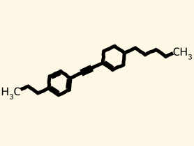 CCCCCC1CC=C(C#Cc2ccc(CCC)cc2)CC1